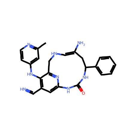 Cc1cc(Nc2c(C=N)cc3nc2CN/C=C(\N)CC(c2ccccc2)NC(=O)N3)ccn1